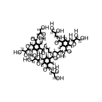 CN(CCN(CC(O)CN(C)C(=O)c1c(I)c(NC(=O)C(O)CO)c(I)c(C(=O)NCC(O)CO)c1I)C(=O)c1c(I)c(NC(=O)C(O)CO)c(I)c(C(=O)NCC(O)CO)c1I)C(=O)c1c(I)c(NC(=O)C(O)CO)c(I)c(C(=O)NCC(O)CO)c1I